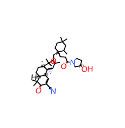 CC(=O)/C=C1/[C@@]2(C)C=C(C#N)C(=O)C(C)(C)[C@@H]2CC[C@@]1(C)C(C)(C)CC[C@@]1(CCC(=O)N2CC[C@H](O)C2)CCC(C)(C)CC1C